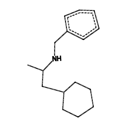 CC(CC1CCCCC1)NCc1ccccc1